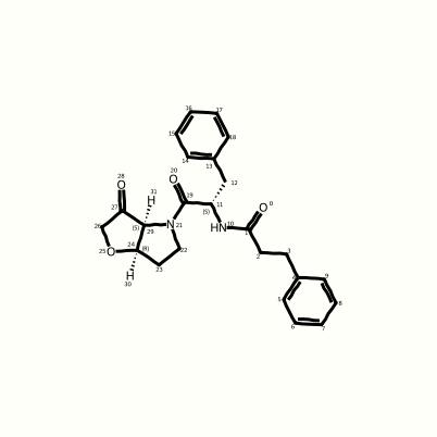 O=C(CCc1ccccc1)N[C@@H](Cc1ccccc1)C(=O)N1CC[C@H]2OCC(=O)[C@H]21